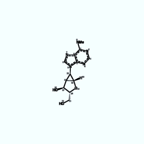 CNc1ncnc2c1ncn2C1C2[C@H]1O[C@H](CO)[C@H]2O